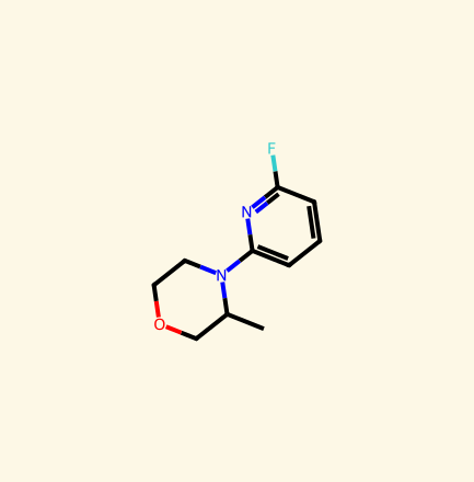 CC1COCCN1c1cccc(F)n1